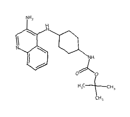 CC(C)(C)OC(=O)NC1CCC(Nc2c(N)cnc3ccccc23)CC1